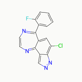 Fc1ccccc1-c1nccnc2c1cc(Cl)c1nncc12